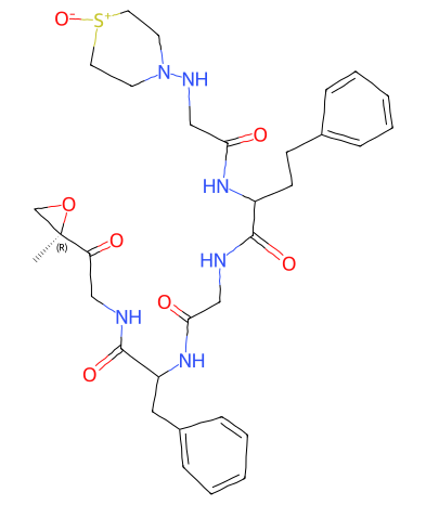 C[C@]1(C(=O)CNC(=O)C(Cc2ccccc2)NC(=O)CNC(=O)C(CCc2ccccc2)NC(=O)CNN2CC[S+]([O-])CC2)CO1